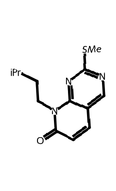 CSc1ncc2ccc(=O)n(CCC(C)C)c2n1